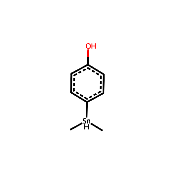 [CH3][SnH]([CH3])[c]1ccc(O)cc1